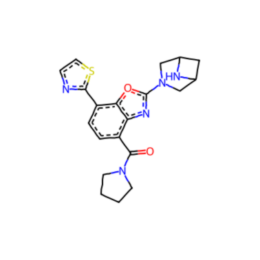 O=C(c1ccc(-c2nccs2)c2oc(N3CC4CC(C3)N4)nc12)N1CCCC1